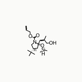 C=CCOC(=O)N1C[C@@H](C(C)(C)C)C[C@@]1(C=C(C)CO)O[SiH](C)C